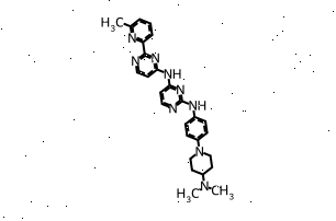 Cc1cccc(-c2nccc(Nc3ccnc(Nc4ccc(N5CCC(N(C)C)CC5)cc4)n3)n2)n1